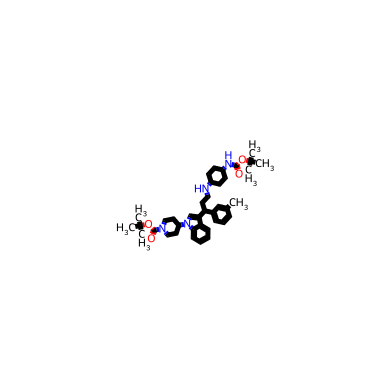 Cc1cccc(C(CCNC2CCC(NC(=O)OC(C)(C)C)CC2)c2cn(C3CCN(C(=O)OC(C)(C)C)CC3)c3ccccc23)c1